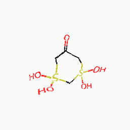 O=C1CS(O)(O)CS(O)(O)C1